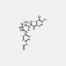 CN1[C@@H](C(=O)Nc2ccc(F)c(Cl)c2)C[C@@H](c2ccc(CN=O)cc2)NS1(=O)=O